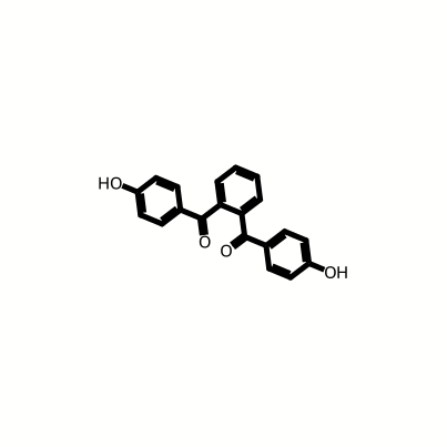 O=C(c1ccc(O)cc1)c1ccccc1C(=O)c1ccc(O)cc1